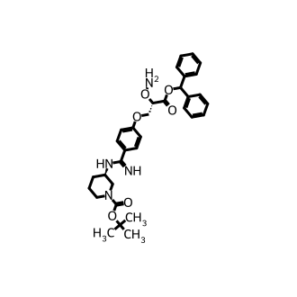 CC(C)(C)OC(=O)N1CCC[C@@H](NC(=N)c2ccc(OC[C@H](ON)C(=O)OC(c3ccccc3)c3ccccc3)cc2)C1